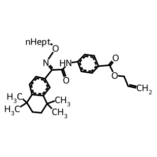 C=CCOC(=O)c1ccc(NC(=O)/C(=N\OCCCCCCC)c2ccc3c(c2)C(C)(C)CCC3(C)C)cc1